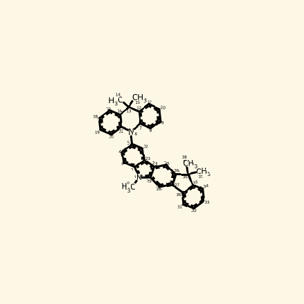 Cn1c2ccc(N3c4ccccc4C(C)(C)c4ccccc43)cc2c2cc3c(cc21)-c1ccccc1C3(C)C